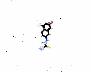 NC(=S)NN=C1CCc2c(Br)cc(Br)cc2C1